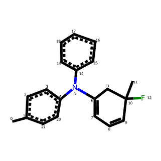 Cc1ccc(N(C2=CC=CC(C)(F)C2)c2ccccc2)cc1